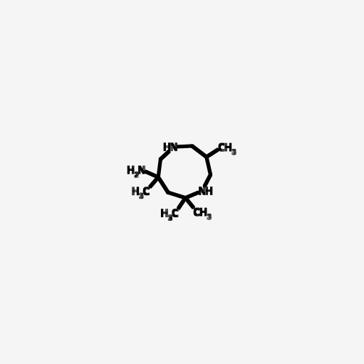 CC1CNCC(C)(N)CC(C)(C)NC1